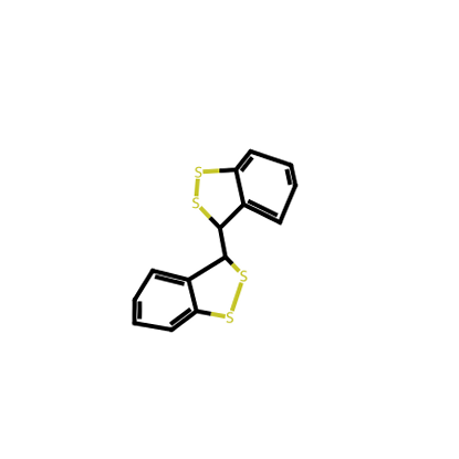 c1ccc2c(c1)SSC2C1SSc2ccccc21